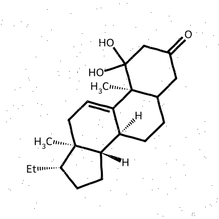 CC[C@H]1CC[C@H]2[C@@H]3CCC4CC(=O)CC(O)(O)[C@]4(C)C3=CC[C@]12C